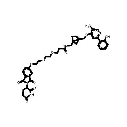 Nc1nnc(-c2ccccc2O)cc1OCC1CC2(CNC(=O)CCOCCOCCOc3ccc4c(c3)C(=O)N(C3CCC(=O)NC3=O)C4=O)CC1C2